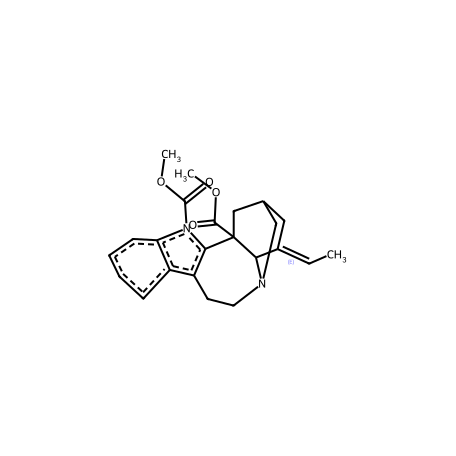 C/C=C1\CC2CN3CCc4c(n(C(=O)OC)c5ccccc45)C(C(=O)OC)(C2)C13